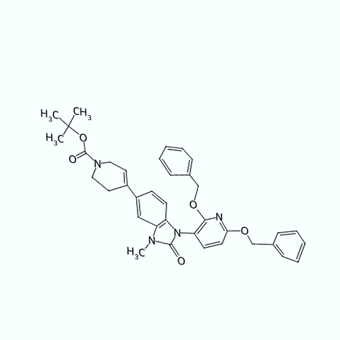 Cn1c(=O)n(-c2ccc(OCc3ccccc3)nc2OCc2ccccc2)c2ccc(C3=CCN(C(=O)OC(C)(C)C)CC3)cc21